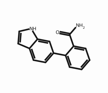 NC(=O)c1ccccc1-c1ccc2cc[nH]c2c1